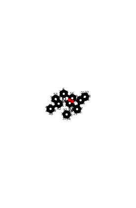 c1ccc(-c2ccccc2N(c2ccc3c4c(-c5ccc6ccccc6c5)cccc4n(-c4ccccc4)c3c2)c2ccc(-c3ccccc3)c3ccccc23)cc1